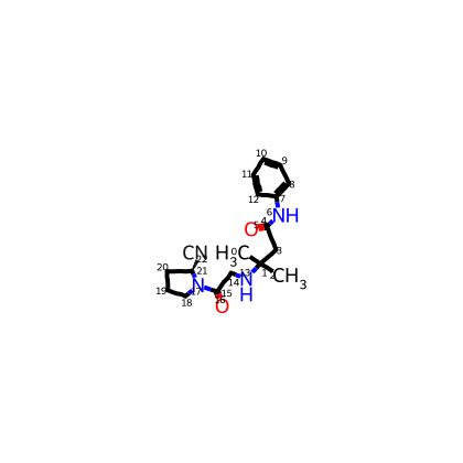 CC(C)(CC(=O)Nc1ccccc1)NCC(=O)N1CCC[C@H]1C#N